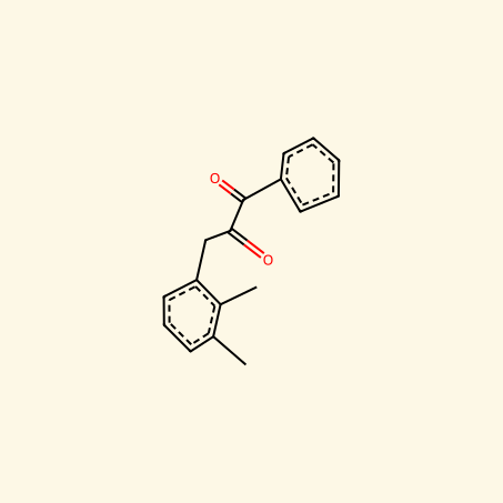 Cc1cccc(CC(=O)C(=O)c2ccccc2)c1C